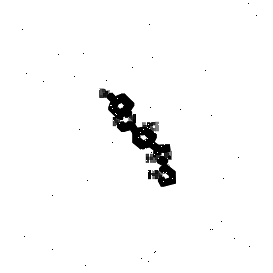 Brc1ccc2nc(-c3ccc(-c4cnc([C@@H]5CCCN5)[nH]4)cc3)cnc2c1.Cl